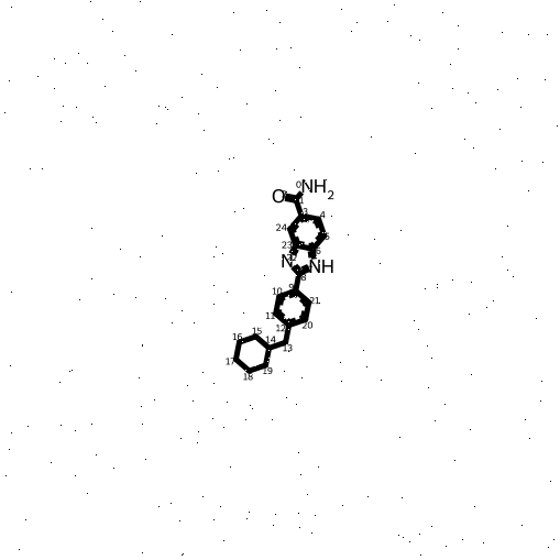 NC(=O)c1ccc2[nH]c(-c3ccc(CC4CCCCC4)cc3)nc2c1